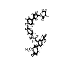 Cn1cc(-c2ccc(C(F)(F)F)cc2NC(=O)Nc2cnc(Oc3ccc(-c4cnc(N5CCCC5=O)s4)cc3)nc2)ccc1=O